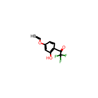 B=COc1ccc(C(=O)C(F)(F)F)c(O)c1